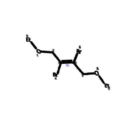 CCOC/C(Br)=C(\Br)COCC